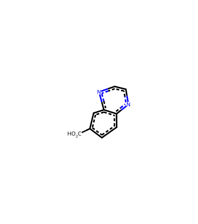 O=C(O)c1ccc2nc[c]nc2c1